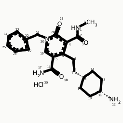 CNC(=O)c1c(CC[C@H]2CC[C@@H](N)CC2)c(C(N)=O)cn(Cc2ccccc2)c1=O.Cl